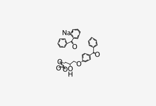 O=C(c1ccccc1)c1ccc(OCC(O)CS(=O)(=O)[O-])cc1.O=C(c1ccccc1)c1ccccc1.[Na+]